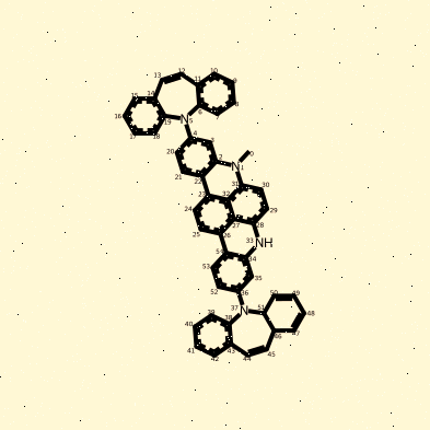 CN1c2cc(N3c4ccccc4C=Cc4ccccc43)ccc2-c2ccc3c4c(ccc1c24)Nc1cc(N2c4ccccc4C=CC4C=CC=CC42)ccc1-3